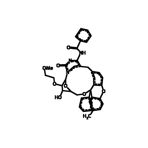 COCCOC1C(O)C2COC3(c4ccccc4)c4cc(C)ccc4Oc4ccc(cc43)Cc3cn(c(=O)nc3NC(=O)c3ccccc3)C1O2